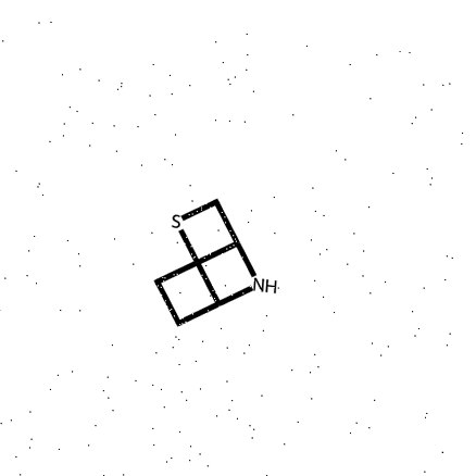 C1CC23SCC2NC13